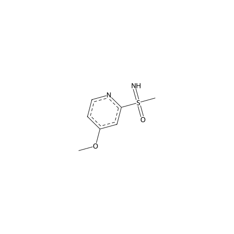 COc1ccnc(S(C)(=N)=O)c1